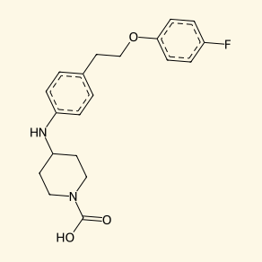 O=C(O)N1CCC(Nc2ccc(CCOc3ccc(F)cc3)cc2)CC1